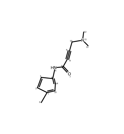 Cc1ccc(NC(=O)C#CCN(C)C)cc1